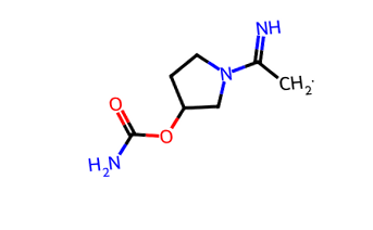 [CH2]C(=N)N1CCC(OC(N)=O)C1